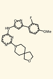 COc1ccc(-c2cc(Nc3ccnc(N4CCC5(CCOC5)CC4)n3)on2)c(F)c1